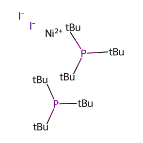 CC(C)(C)P(C(C)(C)C)C(C)(C)C.CC(C)(C)P(C(C)(C)C)C(C)(C)C.[I-].[I-].[Ni+2]